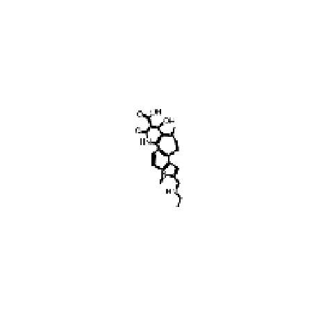 CCNCc1cc2c3c(ccc2n1C)-c1[nH]c(=O)c(C(=O)O)c(O)c1C(C)CC3